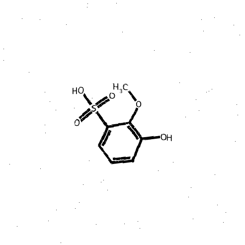 COc1c(O)cccc1S(=O)(=O)O